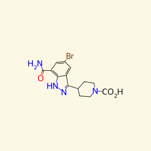 NC(=O)c1cc(Br)cc2c(C3CCN(C(=O)O)CC3)n[nH]c12